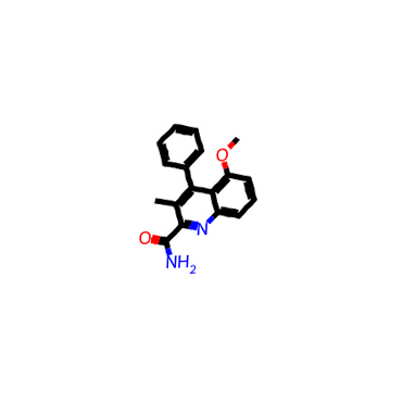 COc1cccc2nc(C(N)=O)c(C)c(-c3ccccc3)c12